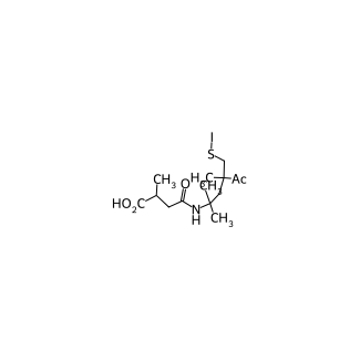 CC(=O)C(C)(CSI)CC(C)(C)NC(=O)CC(C)C(=O)O